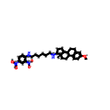 COc1ccc2c(c1)CCC1C2CC[C@]2(C)C(NCCCCCCNc3ccc([N+](=O)[O-])cc3[N+](=O)[O-])CCC12